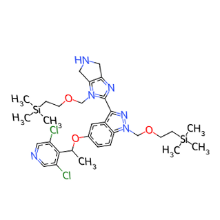 CC(Oc1ccc2c(c1)c(-c1nc3c(n1COCC[Si](C)(C)C)CNC3)nn2COCC[Si](C)(C)C)c1c(Cl)cncc1Cl